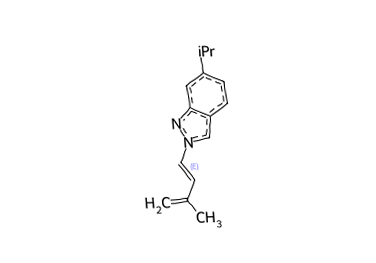 C=C(C)/C=C/n1cc2ccc(C(C)C)cc2n1